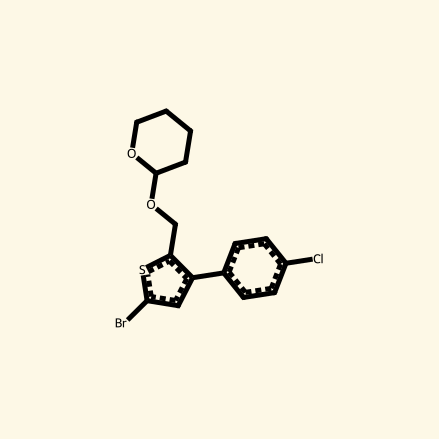 Clc1ccc(-c2cc(Br)sc2COC2CCCCO2)cc1